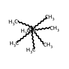 CCCCCCCCCC[N](CCCCCCCCCC)[Ti]([O]C)([N](CCCCCCCCCC)CCCCCCCCCC)[N](CCCCCCCCCC)CCCCCCCCCC